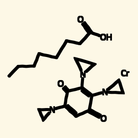 CCCCCCCC(=O)O.O=C1C=C(N2CC2)C(=O)C(N2CC2)=C1N1CC1.[Cr]